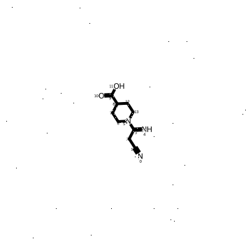 N#CCC(=N)N1CCC(C(=O)O)CC1